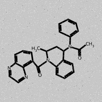 CC(=O)N(c1ccccc1)C1CC(C)N(C(=O)c2cccc3nccnc23)c2ccccc21